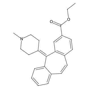 CCOC(=O)c1ccc2c(c1)C(=C1CCN(C)CC1)c1ccccc1C=C2